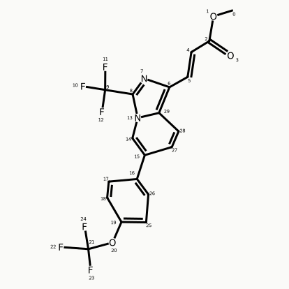 COC(=O)C=Cc1nc(C(F)(F)F)n2cc(-c3ccc(OC(F)(F)F)cc3)ccc12